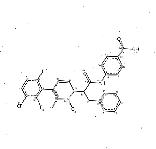 CC1=C(c2c(F)ccc(Cl)c2F)C=CC(C(Cc2ccccc2)C(=O)Nc2ccc(C(=O)O)cc2)[NH+]1[O-]